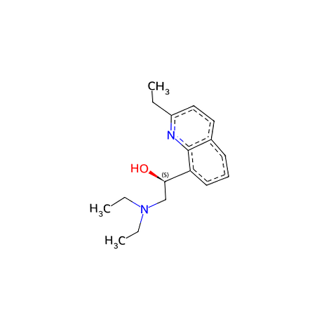 CCc1ccc2cccc([C@H](O)CN(CC)CC)c2n1